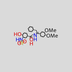 COc1ccc([C@H](Cc2ccccc2)NC[C@H](O)c2ccc(O)c(NS(C)(=O)=O)c2)cc1OC